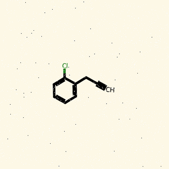 C#CCc1ccccc1Cl